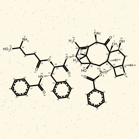 CC(=O)O[C@H]1C(=O)[C@@]2(C)[C@H]([C@H](OC(=O)c3ccccc3)[C@]3(O)C[C@H](OC(=O)[C@H](OC(=O)CCC(N)C(=O)O)[C@@H](NC(=O)c4ccccc4)c4ccccc4)C(C)=C1C3(C)I)[C@]1(OC(C)=O)CO[C@@H]1C[C@@H]2O